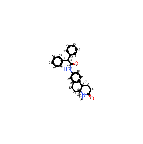 CN1C(=O)CC[C@]2(C)c3ccc(NC(=O)C(c4ccccc4)c4ccccc4)cc3CC[C@@H]12